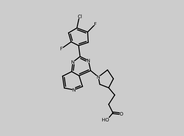 O=C(O)CCC1CCN(c2nc(-c3cc(F)c(Cl)cc3F)nc3ccncc23)C1